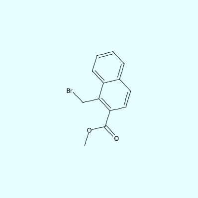 COC(=O)c1ccc2ccccc2c1CBr